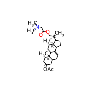 CC(=O)O[C@H]1CC[C@@]2(C)C(CC=C3C2CC[C@@]2(C)C3CCC2[C@H](C)COC(=O)CN(C)C)C1